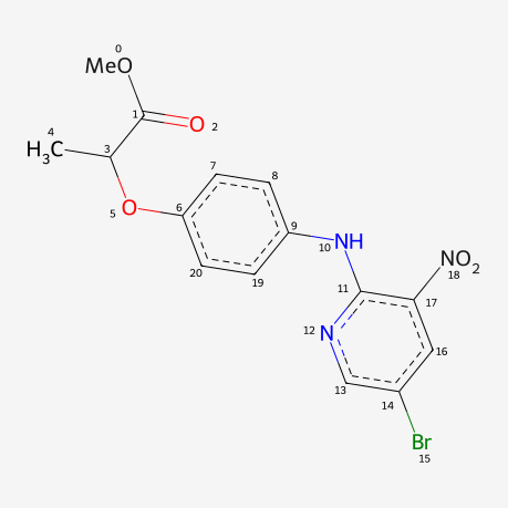 COC(=O)C(C)Oc1ccc(Nc2ncc(Br)cc2[N+](=O)[O-])cc1